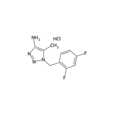 Cc1c(N)nnn1Cc1ccc(F)cc1F.Cl